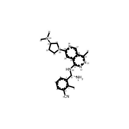 Cc1c(C#N)cccc1[C@@H](N)Nc1nnc(C)c2cnc(N3CC[C@@H](N(C)C)C3)cc12